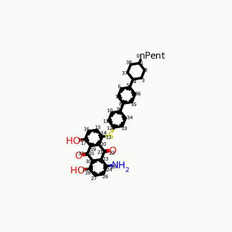 CCCCCC1CCC(c2ccc(-c3ccc(Sc4ccc(O)c5c4C(=O)c4c(N)ccc(O)c4C5=O)cc3)cc2)CC1